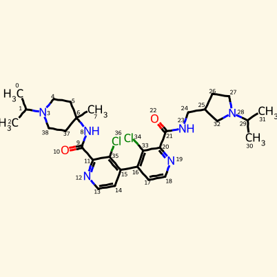 CC(C)N1CCC(C)(NC(=O)c2nccc(-c3ccnc(C(=O)NCC4CCN(C(C)C)C4)c3Cl)c2Cl)CC1